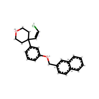 Cl/C=C\C1(c2cccc(OCc3ccc4ccccc4c3)c2)CCOCC1